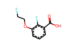 O=C(O)c1cccc(OCCF)c1F